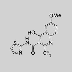 COc1ccc2nc(C(F)(F)F)c(C(=O)Nc3nccs3)c(O)c2c1